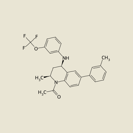 CC(=O)N1c2ccc(-c3cccc(C)c3)cc2[C@H](Nc2cccc(OC(F)(F)F)c2)C[C@@H]1C